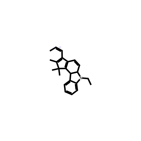 C/C=C\C1=C(C)C(C)(C)C2=C1C=CC1C2c2ccccc2N1CC